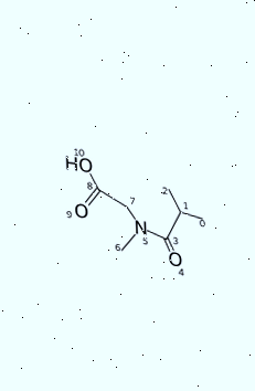 CC(C)C(=O)N(C)CC(=O)O